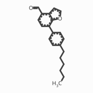 CCCCCCc1ccc(-c2ccc(C=O)c3ccoc23)cc1